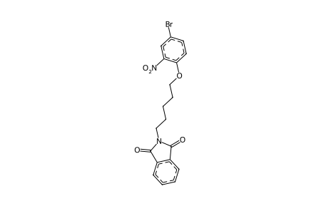 O=C1c2ccccc2C(=O)N1CCCCCOc1ccc(Br)cc1[N+](=O)[O-]